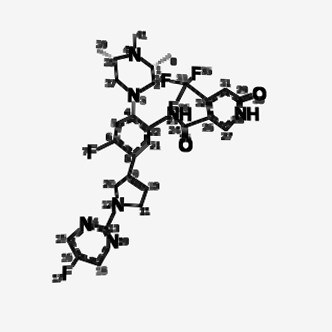 C[C@@H]1CN(c2cc(F)c(C3=CCN(c4ncc(F)cn4)C3)cc2NC(=O)c2c[nH]c(=O)cc2C(F)(F)F)C[C@H](C)N1C